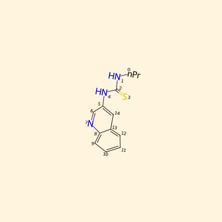 CCCNC(=S)Nc1cnc2ccccc2c1